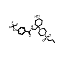 CCCS(=O)(=O)N1CCN(C2(CNC(=O)c3ccc(OC(F)(F)F)cc3)CCCCC2)CC1.Cl